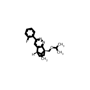 C=C1[C@@H]2CC[C@@]1(COC(C)C)c1nnc(-c3ccccc3F)cc12